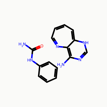 NC(=O)Nc1ccccc1.NC1=C2N=CC=CC=C2NC=N1